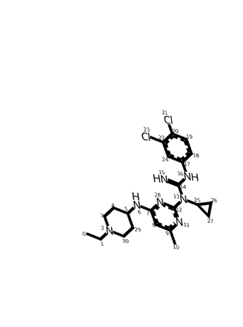 CCN1CCC(Nc2cc(C)nc(N(C(=N)Nc3ccc(Cl)c(Cl)c3)C3CC3)n2)CC1